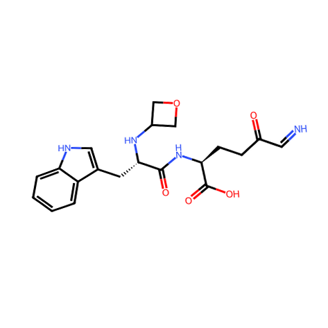 N=CC(=O)CC[C@H](NC(=O)[C@H](Cc1c[nH]c2ccccc12)NC1COC1)C(=O)O